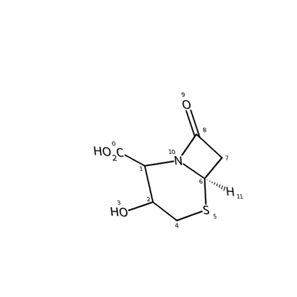 O=C(O)C1C(O)CS[C@@H]2CC(=O)N12